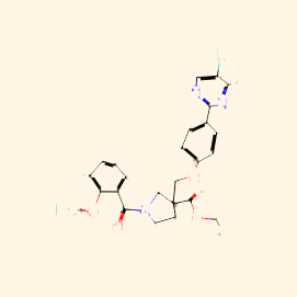 CCOC(=O)C1(COc2ccc(-c3ncc(F)cn3)cc2)CCN(C(=O)c2ccccc2OC)C1